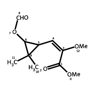 COC(=O)C(=CC1C(OC=O)C1(C)C)OC